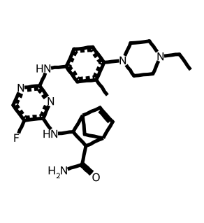 CCN1CCN(c2ccc(Nc3ncc(F)c(NC4C5C=CC(C5)C4C(N)=O)n3)cc2C)CC1